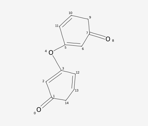 O=C1C=C(OC2=CC(=O)CC=C2)C=CC1